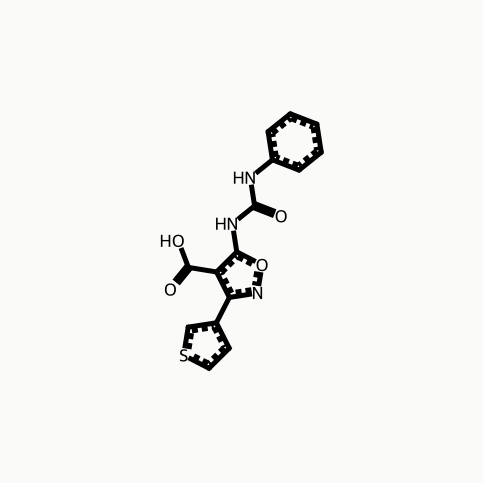 O=C(Nc1ccccc1)Nc1onc(-c2ccsc2)c1C(=O)O